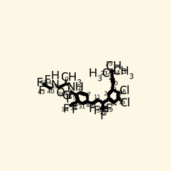 C[C@@H](NC(=O)c1ccc(/C(F)=C/C(c2cc(Cl)c(Cl)c(C#CC(C)(C)C)c2)C(F)(F)F)cc1C(F)(F)F)C(=O)NCC(F)(F)F